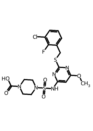 COc1cc(NS(=O)(=O)N2CCN(C(=O)O)CC2)nc(SCc2cccc(Cl)c2F)n1